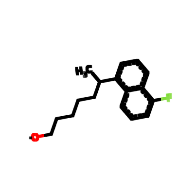 CC(CCCCC[O])c1cccc2c(F)cccc12